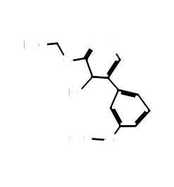 CCOC(=O)C(Br)C(=CF)c1cccc(OC)c1